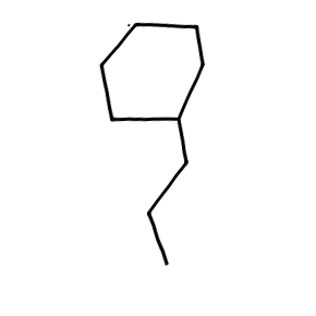 CCCC1CC[CH]CC1